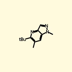 Cc1cc2c(cnn2C)nc1C(C)(C)C